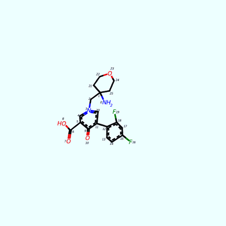 NC1(Cn2cc(C(=O)O)c(=O)c(-c3ccc(F)cc3F)c2)CCOCC1